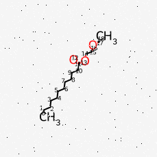 CCCCCCCCCCCC(=O)OCCOCC